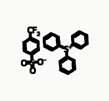 O=S(=O)([O-])c1ccc(C(F)(F)F)cc1.c1ccc([S+](c2ccccc2)c2ccccc2)cc1